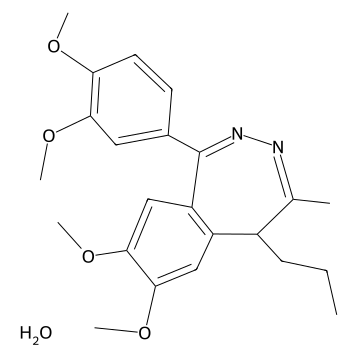 CCCC1C(C)=NN=C(c2ccc(OC)c(OC)c2)c2cc(OC)c(OC)cc21.O